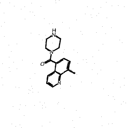 Cc1ccc(C(=O)N2CCNCC2)c2cccnc12